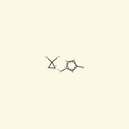 Cc1cnn(C[C@@H]2CC2(F)F)c1